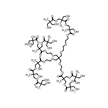 CC(CO)(CO)C(=O)OCC(C)(CO)C(=O)OCC(C)(CO)C(=O)OCCOCCOCC(COCCOC(=O)C(C)(CO)COC(=O)C(C)(CO)COC(=O)C(C)(CO)CO)(COCCOC(=O)C(C)(COC(=O)C(C)(CO)CO)COC(=O)C(C)(CO)CO)COCCOC(=O)C(C)(COC(=O)C(C)(CO)CO)COC(=O)C(C)(CO)CO